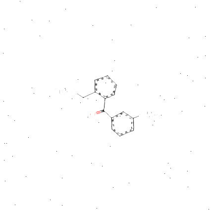 CCOC(=O)Cc1ccccc1C(=O)c1cccc(OC)c1